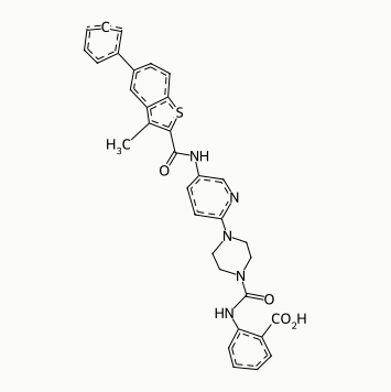 Cc1c(C(=O)Nc2ccc(N3CCN(C(=O)Nc4ccccc4C(=O)O)CC3)nc2)sc2ccc(-c3ccccc3)cc12